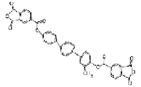 Cc1cc(-c2ccc(-c3ccc(OC(=O)c4ccc5c(c4)C(=O)OC5=O)cc3)cc2)ccc1OC(=O)c1ccc2c(c1)C(=O)OC2=O